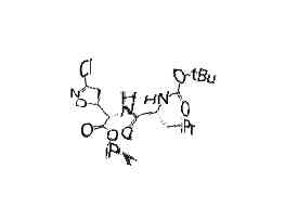 CC(C)C[C@@H](NC(=O)OC(C)(C)C)C(=O)N[C@H](C(=O)OC(C)C)[C@@H]1CC(Cl)=NO1